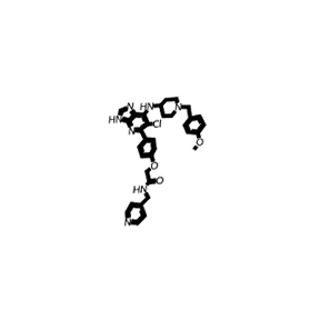 COc1ccc(CN2CCC(Nc3c(Cl)c(-c4ccc(OCC(=O)NCc5ccncc5)cc4)nc4[nH]cnc34)CC2)cc1